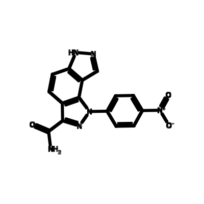 NC(=O)c1nn(-c2ccc([N+](=O)[O-])cc2)c2c1ccc1[nH]ncc12